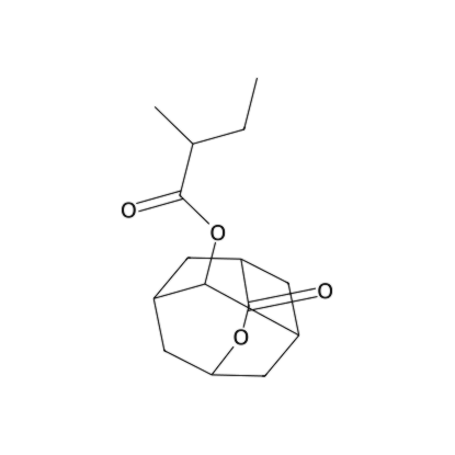 CCC(C)C(=O)OC1C2CC3CC1CC(C2)C(=O)O3